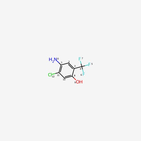 Nc1cc(C(F)(F)F)c(O)cc1Cl